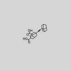 O=C(O)C12CC3CC(C#CC45CC6CC(CC(C6)C4)C5)(C1)CC(C(=O)O)(C3)C2